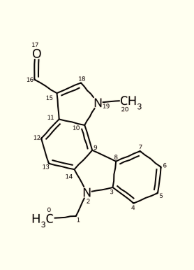 CCn1c2ccccc2c2c3c(ccc21)c(C=O)cn3C